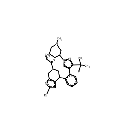 C=CC(=O)N1Cc2sc(CC)cc2[C@H](c2ccccc2-c2cn(C3CCCN(C)C3)nc2C(C)(F)P)C1